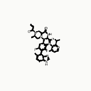 C=CC(=O)N1CC2C(=O)Nc3c(c4cc(F)c(-c5c(C)ccc6[nH]cnc56)c(F)c4n(-c4c(C)ccnc4C(C)C)c3=O)N2CC1C